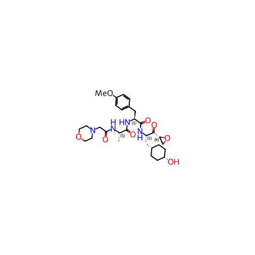 COc1ccc(C[C@H](NC(=O)[C@H](C)NC(=O)CN2CCOCC2)C(=O)N[C@@H](C[C@H]2CC[C@@H](O)CC2)C(=O)[C@H]2CO2)cc1